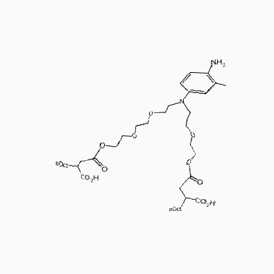 CCCCCCCCC(CC(=O)OCCOCCOCCN(CCOCCOC(=O)CC(CCCCCCCC)C(=O)O)c1ccc(N)c(C)c1)C(=O)O